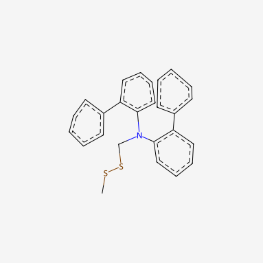 CSSCN(c1ccccc1-c1ccccc1)c1ccccc1-c1ccccc1